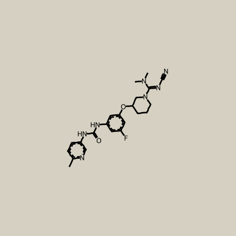 Cc1ccc(NC(=O)Nc2cc(F)cc(OC3CCCN(/C(=N/C#N)N(C)C)C3)c2)cn1